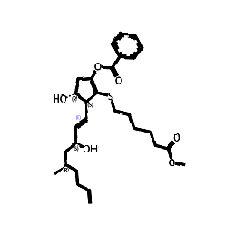 CCCC[C@@H](C)C[C@H](O)/C=C/[C@@H]1C(SCCCCCC(=O)OC)=C(OC(=O)c2ccccc2)C[C@H]1O